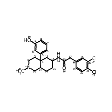 CN1CCC2(c3cccc(O)c3)CC(NC(=O)Cc3ccc(Cl)c(Cl)c3)CCC2C1